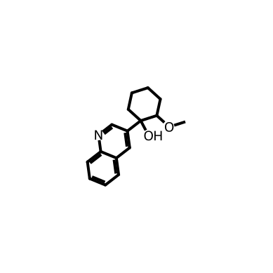 COC1CCCCC1(O)c1cnc2ccccc2c1